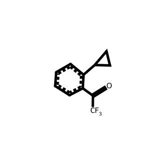 O=C(c1ccccc1C1CC1)C(F)(F)F